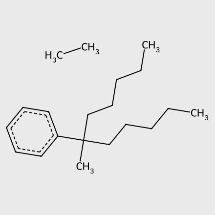 CC.CCCCCC(C)(CCCCC)c1ccccc1